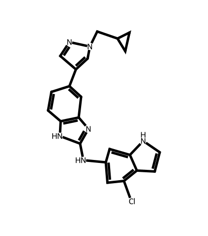 Clc1cc(Nc2nc3cc(-c4cnn(CC5CC5)c4)ccc3[nH]2)cc2[nH]ccc12